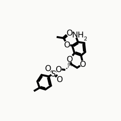 CC(=O)Oc1c(N)ccc2c1O[C@@H](COS(=O)(=O)c1ccc(C)cc1)CO2